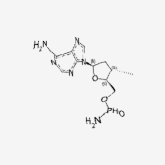 C[C@H]1C[C@H](n2cnc3c(N)ncnc32)O[C@@H]1CO[PH](N)=O